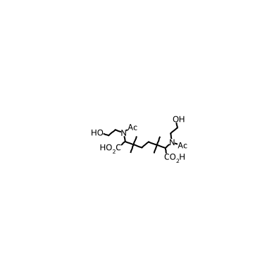 CC(=O)N(CCO)C(C(=O)O)C(C)(C)CCC(C)(C)C(C(=O)O)N(CCO)C(C)=O